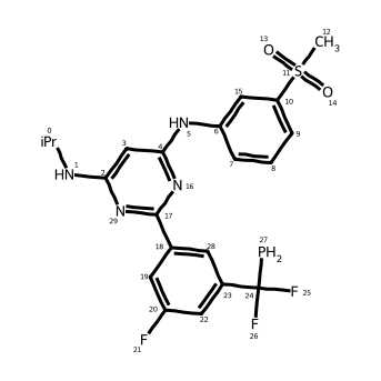 CC(C)Nc1cc(Nc2cccc(S(C)(=O)=O)c2)nc(-c2cc(F)cc(C(F)(F)P)c2)n1